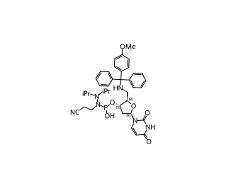 COc1ccc(C(NC[C@H]2O[C@@H](n3ccc(=O)[nH]c3=O)C[C@@H]2OP(O)N(CCC#N)N(C(C)C)C(C)C)(c2ccccc2)c2ccccc2)cc1